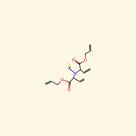 C=CCOC(=O)C(C=C)N([C]=S)C(C=C)C(=O)OCC=C